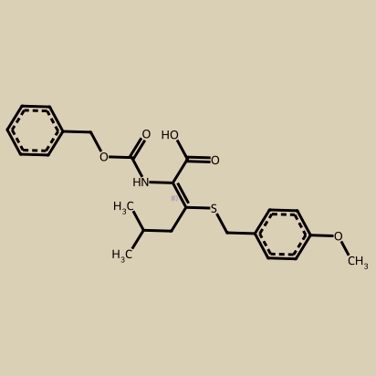 COc1ccc(CS/C(CC(C)C)=C(/NC(=O)OCc2ccccc2)C(=O)O)cc1